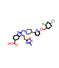 Cc1noc(CCn2c(CN3CCC(c4cccc(OCc5ccc(Cl)cc5F)n4)CC3)nc3ccc(C(=O)O)cc32)n1